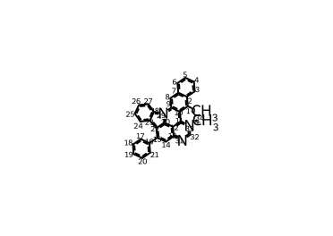 Cc1c2ccccc2cc2c1c1c3c(cc(-c4ccccc4)c4c5ccccc5n2c43)nc[n+]1C